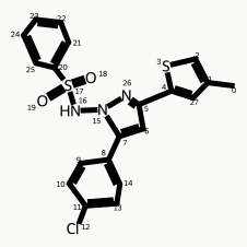 Cc1csc(-c2cc(-c3ccc(Cl)cc3)n(NS(=O)(=O)c3ccccc3)n2)c1